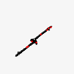 CCCCOC(=O)CCCCCCCCCCCCCCCCCCCCOc1c2ccccc2c(OCCCCCCCCCCCCCCCCCCCCC(=O)OCCCC)c2cc(CC)ccc12